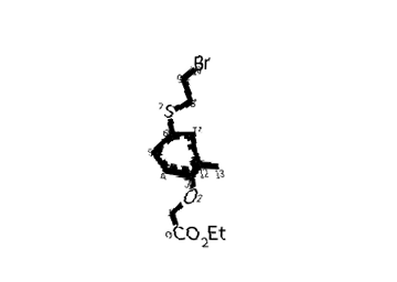 CCOC(=O)COc1ccc(SCCBr)cc1C